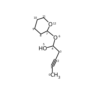 CC#CCC(O)OC1CCCCO1